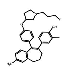 Cc1cc(C2=C(c3ccc(OC4CCN(CCCF)C4)cc3)c3ccc(N)cc3CCC2)ccc1O